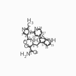 Cc1ncc(C(=O)NC(Cc2csc3[nH]ccc23)C(=O)C(N)=O)n1-c1ccccn1